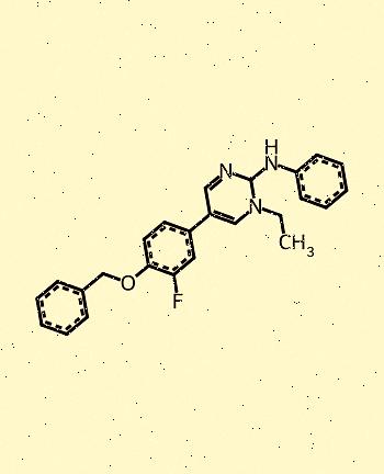 CCN1C=C(c2ccc(OCc3ccccc3)c(F)c2)C=NC1Nc1ccccc1